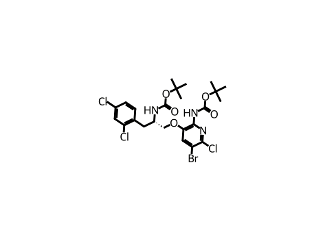 CC(C)(C)OC(=O)Nc1nc(Cl)c(Br)cc1OC[C@H](Cc1ccc(Cl)cc1Cl)NC(=O)OC(C)(C)C